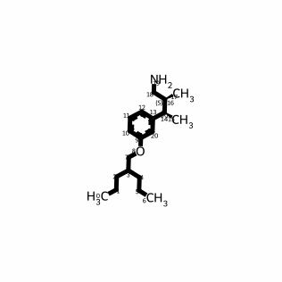 CCCC(CCC)COc1cccc([C@H](C)[C@H](C)CN)c1